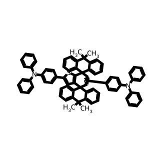 CC1(C)c2ccccc2C2(c3ccccc31)c1cc(-c3ccc(N(c4ccccc4)c4ccccc4)cc3)sc1C1(c3ccccc3C(C)(C)c3ccccc31)c1cc(-c3ccc(N(c4ccccc4)c4ccccc4)cc3)sc12